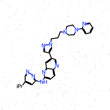 CC(C)c1cnnc(Nc2ccc3ncc(-c4cnn(CCCN5CCN(c6ccccn6)CC5)c4)cc3n2)c1